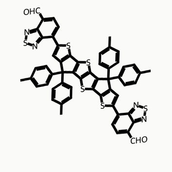 Cc1ccc(C2(c3ccc(C)cc3)c3cc(-c4ccc(C=O)c5nsnc45)sc3-c3sc4c5c(sc4c32)-c2sc(-c3ccc(C=O)c4nsnc34)cc2C5(c2ccc(C)cc2)c2ccc(C)cc2)cc1